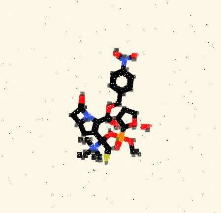 COP(=O)(OC(C=S)(C1=C(C(=O)OCc2ccc([N+](=O)[O-])cc2)N2C(=O)CC2C1)[N+](C)(C)C)C1CCCO1.[OH-]